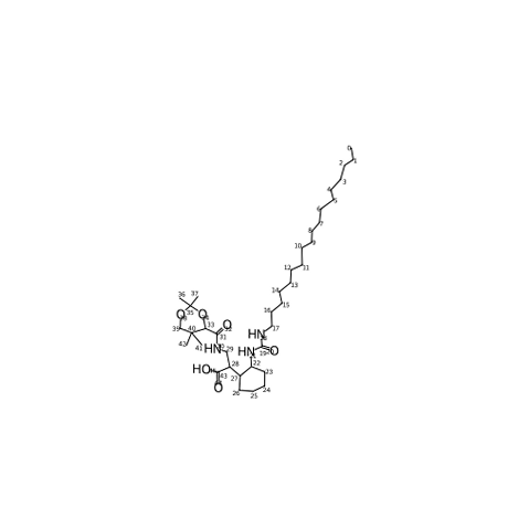 CCCCCCCCCCCCCCCCCCNC(=O)NC1CCCCC1C(CNC(=O)C1OC(C)(C)OCC1(C)C)C(=O)O